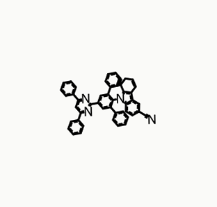 N#Cc1ccc2c(c1)c1c(n2-c2c(-c3c#cccc3)cc(-c3nc(-c4ccccc4)cc(-c4ccccc4)n3)cc2-c2ccccc2)CCC=C1